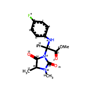 COC(=O)C(Nc1ccc(F)cc1)(C(C)C)N1C(=O)C(C)N(C)C1=O